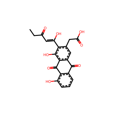 CCC(=O)/C=C(\O)c1c(CC(=O)O)cc2c(c1O)C(=O)c1c(O)cccc1C2=O